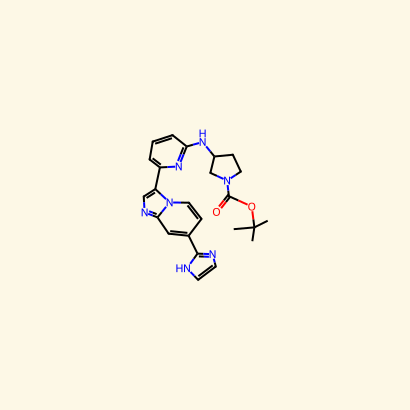 CC(C)(C)OC(=O)N1CCC(Nc2cccc(-c3cnc4cc(-c5ncc[nH]5)ccn34)n2)C1